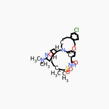 C[C@@H]1[C@@H](C)CCC[C@]2(CC(N(C)C)=NO2)[C@@H]2CC[C@H]2CN2CCCCc3cc(Cl)ccc3COc3ccc(cc32)C(=O)NS1(=O)=O